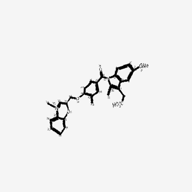 COc1ccc2c(c1)c(CC(=O)O)c(C)n2C(=O)c1ccc(OC[C@@H]2CN(C)c3ccccc3O2)c(C)c1